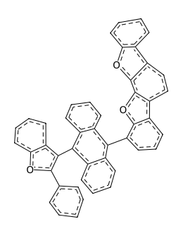 c1ccc(-c2oc3ccccc3c2-c2c3ccccc3c(-c3cccc4c3oc3c4ccc4c5ccccc5oc43)c3ccccc23)cc1